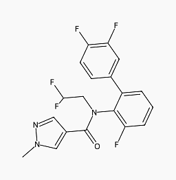 Cn1cc(C(=O)N(CC(F)F)c2c(F)cccc2-c2ccc(F)c(F)c2)cn1